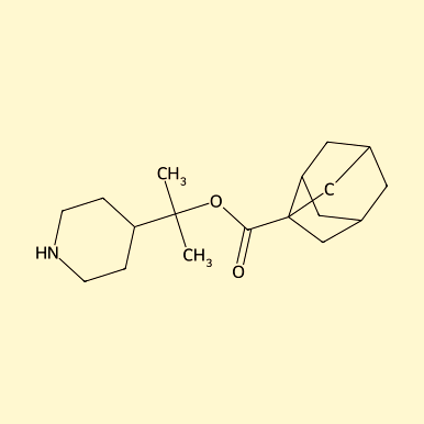 CC(C)(OC(=O)C12CC3CC(CC1C3)C2)C1CCNCC1